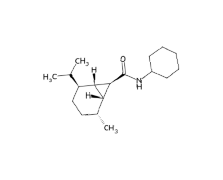 CC(C)[C@@H]1CC[C@@H](C)[C@H]2[C@H](C(=O)NC3CCCCC3)[C@H]21